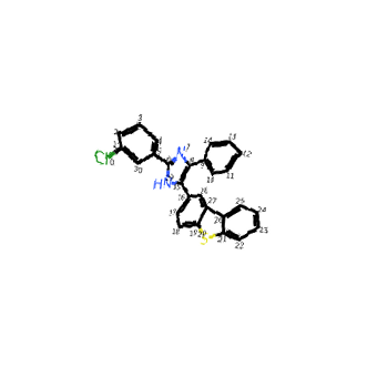 Clc1cccc(-c2nc(-c3ccccc3)c(-c3ccc4sc5ccccc5c4c3)[nH]2)c1